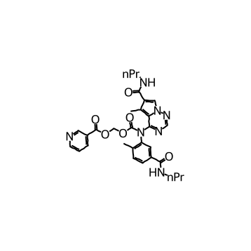 CCCNC(=O)c1ccc(C)c(N(C(=O)OCOC(=O)c2cccnc2)c2ncnn3cc(C(=O)NCCC)c(C)c23)c1